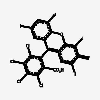 C=c1c(I)cc2c(c1I)Oc1c(I)cc(I)cc1C=2c1c(Cl)c(Cl)c(Cl)c(Cl)c1C(=O)O